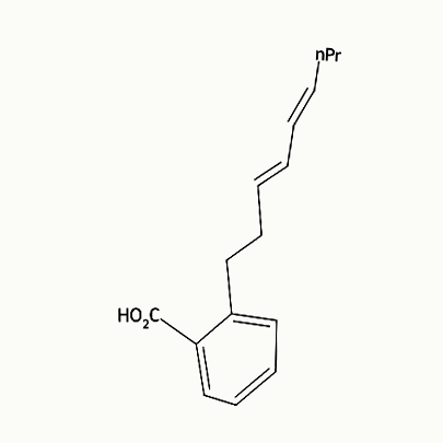 CCCC=CC=CCCc1ccccc1C(=O)O